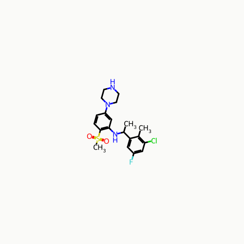 Cc1c(Cl)cc(F)cc1C(C)Nc1cc(N2CCNCC2)ccc1S(C)(=O)=O